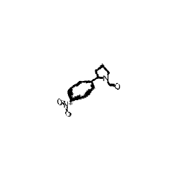 O=CN1CCCC1c1ccc([N+](=O)[O-])cc1